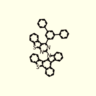 c1ccc(-c2cc(-c3ccccc3)cc(-c3nc(-n4c5ccccc5c5c6ccccc6c6sc7ccccc7c6c54)nc4sc5ccccc5c34)c2)cc1